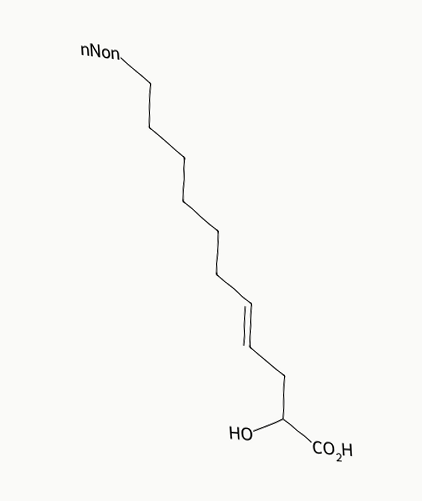 CCCCCCCCCCCCCCCC=CCC(O)C(=O)O